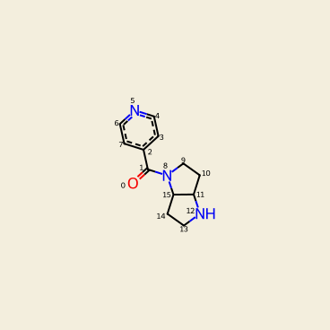 O=C(c1ccncc1)N1CCC2NCCC21